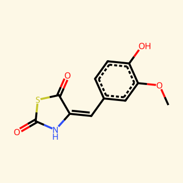 COc1cc(C=C2NC(=O)SC2=O)ccc1O